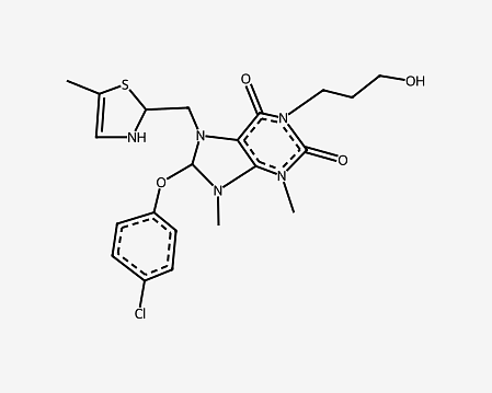 CC1=CNC(CN2c3c(n(C)c(=O)n(CCCO)c3=O)N(C)C2Oc2ccc(Cl)cc2)S1